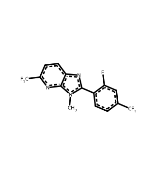 Cn1c(-c2ccc(C(F)(F)F)cc2F)nc2ccc(C(F)(F)F)nc21